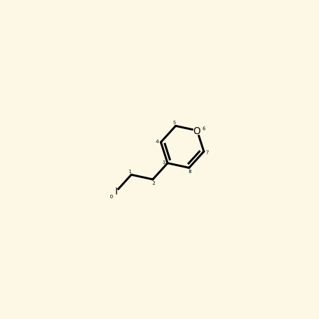 ICCC1=CCOC=C1